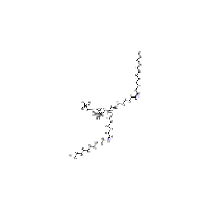 CCCCCCCCCCC/C=C\CCCCCOC[C@H](COP(=O)([O-])OCC[N+](C)(C)C)OCCCCC/C=C\CCCCCCCCCCC